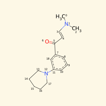 CN(C)C=CC(=O)c1cccc(N2CCCCC2)c1